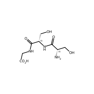 N[C@@H](CO)C(=O)N[C@@H](CO)C(=O)NCC(=O)O